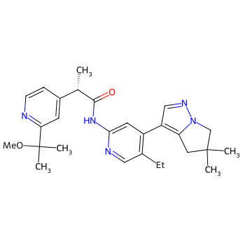 CCc1cnc(NC(=O)[C@@H](C)c2ccnc(C(C)(C)OC)c2)cc1-c1cnn2c1CC(C)(C)C2